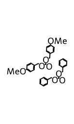 COc1ccc(COC(=O)OCc2ccc(OC)cc2)cc1.O=C(OCc1ccccc1)OCc1ccccc1